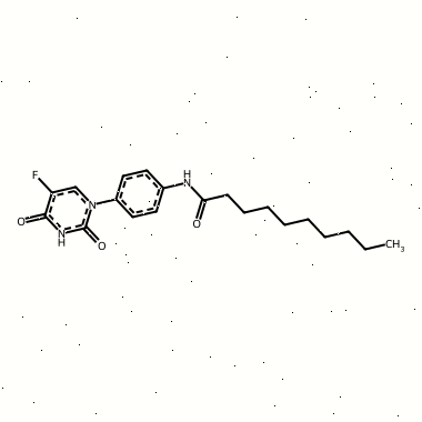 CCCCCCCCCC(=O)Nc1ccc(-n2cc(F)c(=O)[nH]c2=O)cc1